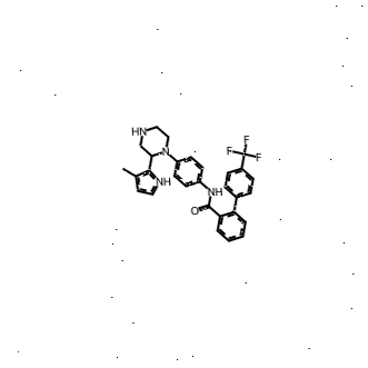 Cc1cc[nH]c1C1CNCCN1c1ccc(NC(=O)c2ccccc2-c2ccc(C(F)(F)F)cc2)cc1